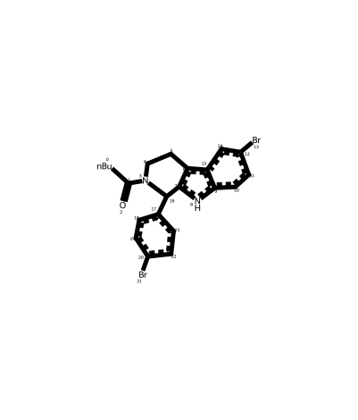 CCCCC(=O)N1CCc2c([nH]c3ccc(Br)cc23)C1c1ccc(Br)cc1